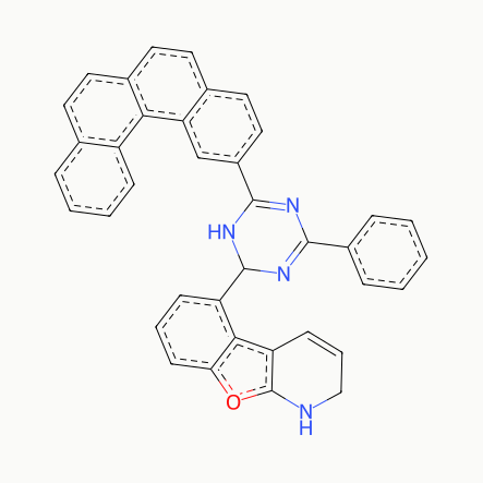 C1=Cc2c(oc3cccc(C4N=C(c5ccccc5)N=C(c5ccc6ccc7ccc8ccccc8c7c6c5)N4)c23)NC1